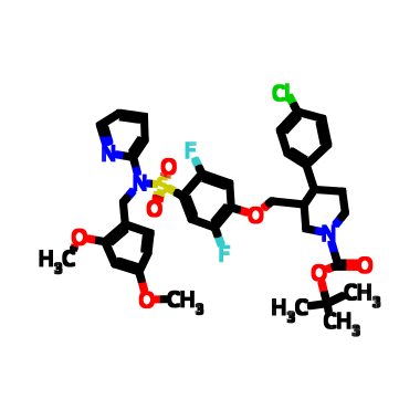 COc1ccc(CN(c2ccccn2)S(=O)(=O)c2cc(F)c(OCC3CN(C(=O)OC(C)(C)C)CCC3c3ccc(Cl)cc3)cc2F)c(OC)c1